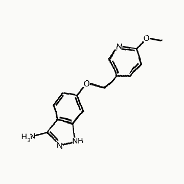 COc1ccc(COc2ccc3c(N)n[nH]c3c2)cn1